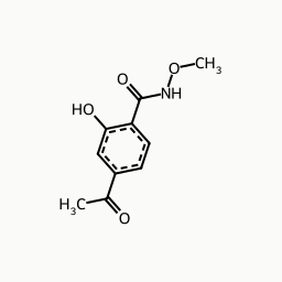 CONC(=O)c1ccc(C(C)=O)cc1O